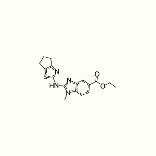 CCOC(=O)c1ccc2c(c1)nc(Nc1nc3c(s1)CCC3)n2C